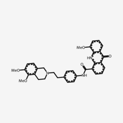 COc1ccc2c(c1OC)CCN(CCc1ccc(NC(=O)c3cccc4c(=O)c5cccc(OC)c5[nH]c34)cc1)C2